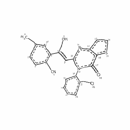 Cc1ccc(C#N)c(/C(O)=C/c2nc3ccsc3c(=O)n2-c2ccccc2Cl)n1